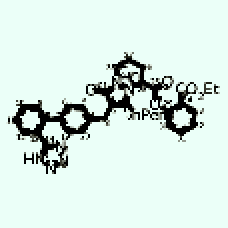 CCCCCc1c(Cc2ccc(-c3ccccc3-c3nnn[nH]3)cc2)c(=O)n2n1C1(C(=O)Oc3ccccc3C(=O)OCC)CCC2CC1